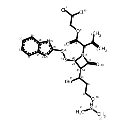 C=C(C)C(C(=O)OCC(Cl)Cl)N1C(=O)[C@@H](C(CCO[SiH](C)C)C(C)(C)C)[C@H]1SSc1nc2ccccc2s1